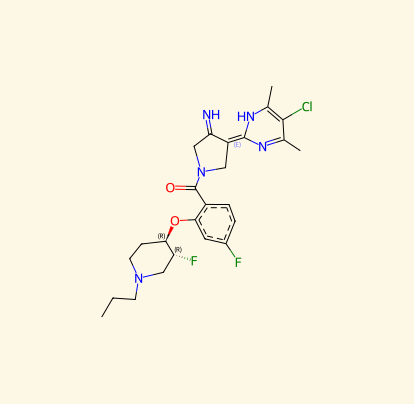 CCCN1CC[C@@H](Oc2cc(F)ccc2C(=O)N2CC(=N)/C(=C3/N=C(C)C(Cl)=C(C)N3)C2)[C@H](F)C1